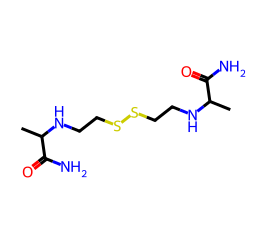 CC(NCCSSCCNC(C)C(N)=O)C(N)=O